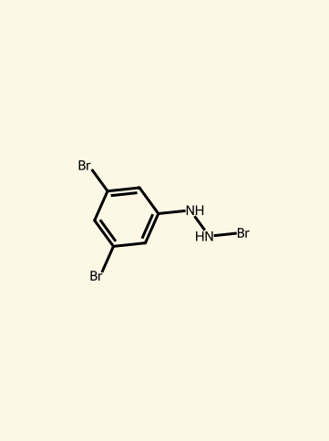 BrNNc1cc(Br)cc(Br)c1